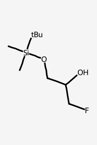 CC(C)(C)[Si](C)(C)OCC(O)CF